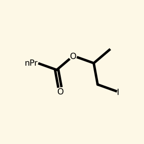 CCCC(=O)OC(C)CI